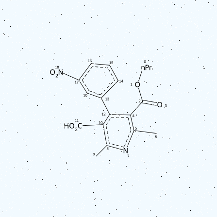 CCCOC(=O)c1c(C)nc(C)c(C(=O)O)c1-c1cccc([N+](=O)[O-])c1